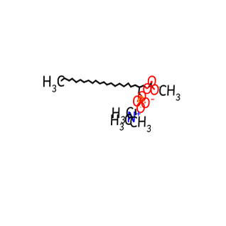 CCCCCCCCCCCCCCCCCCCCC(COC(=O)OCC)COP(=O)([O-])OCC[N+](C)(C)C